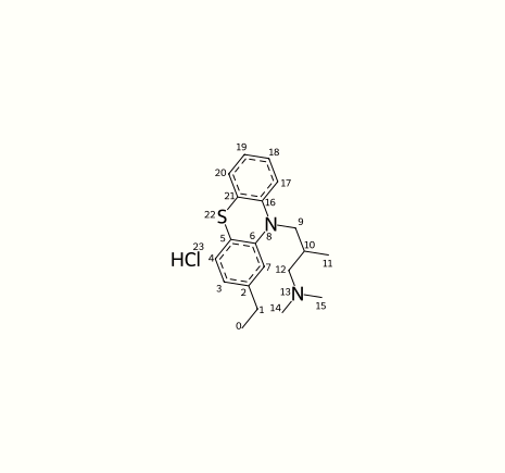 CCc1ccc2c(c1)N(CC(C)CN(C)C)c1ccccc1S2.Cl